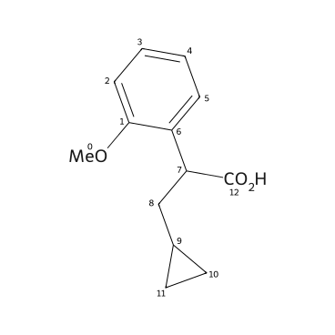 COc1ccccc1C(CC1CC1)C(=O)O